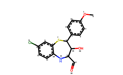 COc1ccc(C2Sc3cc(Cl)ccc3NC(C=O)C2O)cc1